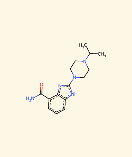 CC(C)N1CCN(c2nc3c(C(N)=O)cccc3[nH]2)CC1